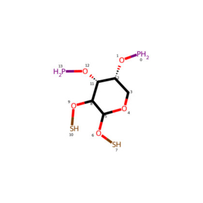 PO[C@@H]1COC(OS)C(OS)[C@@H]1OP